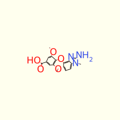 COc1cc(C(=O)O)cc(OC)c1Oc1cccc2c1nc(N)n2C